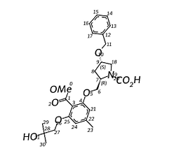 COC(=O)c1c(OC[C@H]2C[C@H](OCc3ccccc3)CN2C(=O)O)cc(C)cc1OCC(C)(C)O